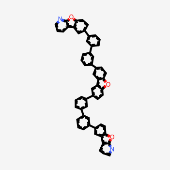 c1cc(-c2cccc(-c3ccc4oc5ncccc5c4c3)c2)cc(-c2ccc3oc4ccc(-c5cccc(-c6cccc(-c7ccc8oc9ncccc9c8c7)c6)c5)cc4c3c2)c1